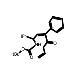 C=CCC(=O)C(=CC(NC(=O)OC(C)(C)C)C(C)C)c1ccccc1